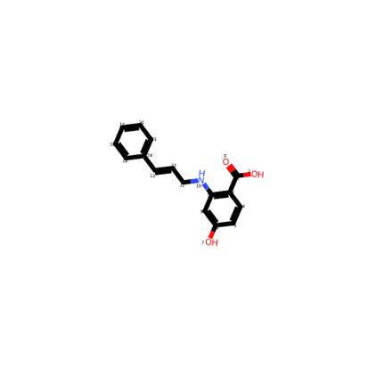 O=C(O)c1ccc(O)cc1NCC=Cc1ccccc1